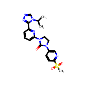 CC(C)n1cnnc1-c1cccc(N2CCN(c3ccc(S(C)(=O)=O)nc3)C2=O)n1